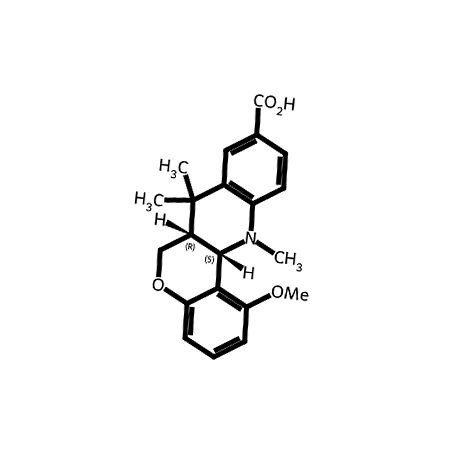 COc1cccc2c1[C@@H]1[C@H](CO2)C(C)(C)c2cc(C(=O)O)ccc2N1C